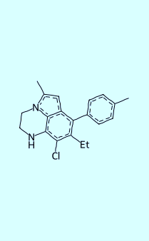 CCc1c(Cl)c2c3c(cc(C)n3CCN2)c1-c1ccc(C)cc1